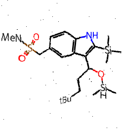 CNS(=O)(=O)Cc1ccc2[nH]c([Si](C)(C)C)c(C(CCC(C)(C)C)O[SiH](C)C)c2c1